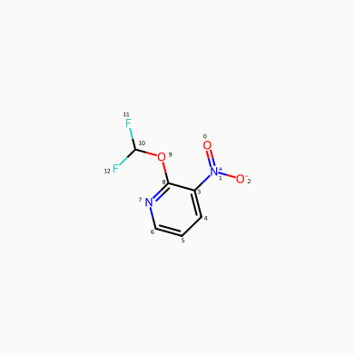 O=[N+]([O-])c1cccnc1OC(F)F